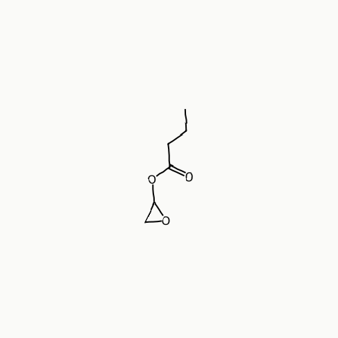 CCCC(=O)OC1CO1